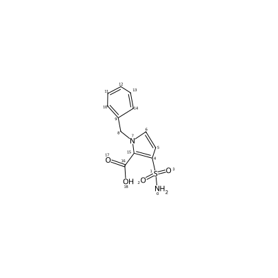 NS(=O)(=O)c1ccn(Cc2ccccc2)c1C(=O)O